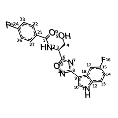 O=C(N[C@@H](CO)c1nc(-c2c[nH]c3ccc(F)cc23)no1)c1ccc(F)cc1